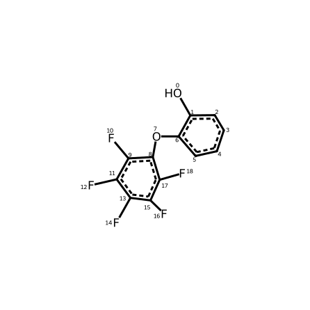 Oc1ccccc1Oc1c(F)c(F)c(F)c(F)c1F